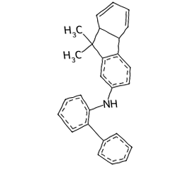 CC1(C)c2cc(Nc3ccccc3-c3ccccc3)ccc2C2C=CC=CC21